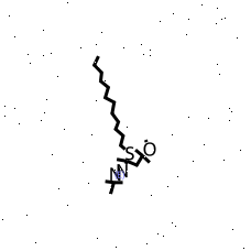 CCCCCCCCCCCCSC(C)(CC(C)(C)OC)/N=N/C(C)(C)C